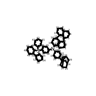 c1ccc(-c2cccc3cccc(-c4ccc(N(c5ccc(C67CC8CC(CC(C8)C6)C7)cc5)c5ccc(S6(c7ccccc7)c7ccccc7-c7ccccc76)cc5)cc4)c23)cc1